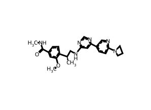 CNC(=O)c1ccc([C@H](C)CNc2cc(-c3ccc(N4CCC4)nc3)ncn2)c(OC)c1